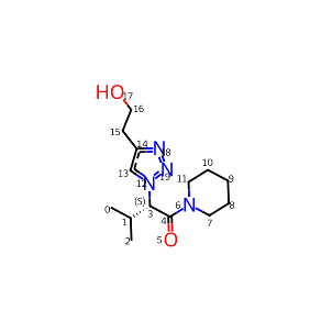 CC(C)[C@@H](C(=O)N1CCCCC1)n1cc(CCO)nn1